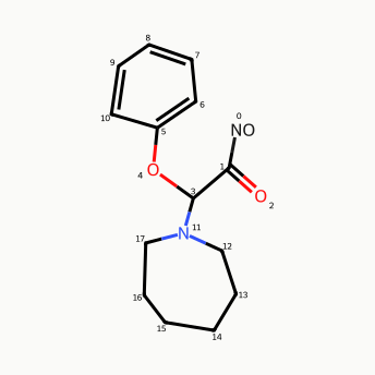 O=NC(=O)C(Oc1ccccc1)N1CCCCCC1